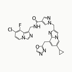 O=C(NCc1ncn2ccc(Cl)c(F)c12)c1cnn(Cc2cn3cc(C4CC4)cc(Cc4nnco4)c3n2)c1